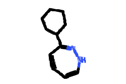 C1=CNN=C(C2CCCCC2)C=C1